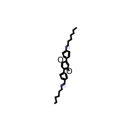 CCCCCC/C=C/c1ccc2c(c1)oc1cc3c(cc12)oc1cc(/C=C/CCCCCC)ccc13